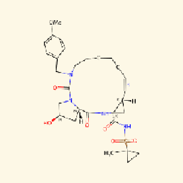 COc1ccc(CN2CCCCC/C=C\[C@@H]3C[C@@]3(C(=O)NS(=O)(=O)C3(C)CC3)NC(=O)[C@@H]3C[C@@H](O)CN3C2=O)cc1